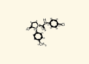 Cc1ccc(N2C(=O)CCN2C(=S)Nc2ccc(Cl)cc2)cc1